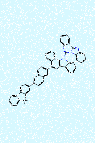 CC1(C)c2ccccc2-c2ccc(-c3ccc4cc(-c5cc6c7ccccc7n(-c7nc8ccccc8c8nc9ccccc9n78)c6c6ccccc56)ccc4c3)cc21